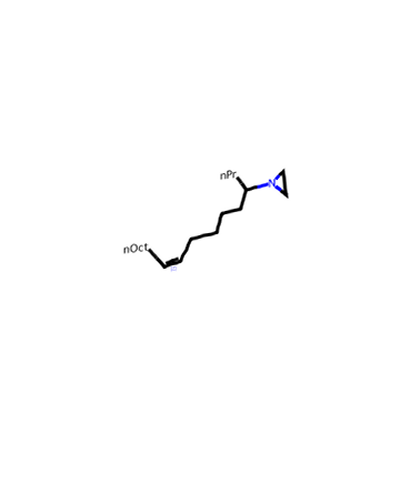 CCCCCCCC/C=C\CCCCC(CCC)N1CC1